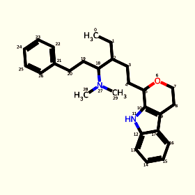 CCC(CCC1OCCc2c1[nH]c1ccccc21)C(CCc1ccccc1)N(C)C